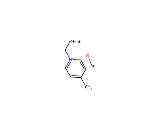 CC(=O)[O-].CCCCCCCC[n+]1ccc(C)cc1